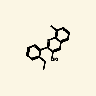 Cc1cccc2cc(C=O)c(-c3ccccc3CF)nc12